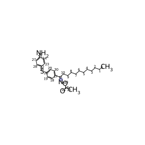 CCCCCCCCCCC/C(=N\OC(C)=O)c1ccc(Sc2ccc(N)cc2)cc1